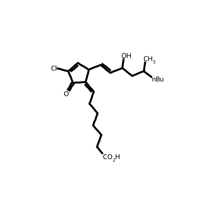 CCCCC(C)CC(O)C=CC1C=C(Cl)C(=O)C1=CCCCCCC(=O)O